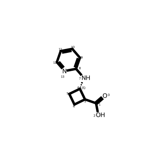 O=C(O)C1CC[C@@H]1Nc1ccccn1